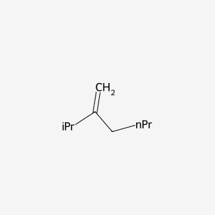 C=C(CCCC)C(C)C